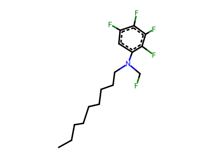 CCCCCCCCCN(CF)c1cc(F)c(F)c(F)c1F